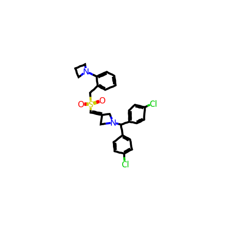 O=S(=O)(C=C1CN(C(c2ccc(Cl)cc2)c2ccc(Cl)cc2)C1)Cc1ccccc1N1CCC1